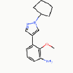 COc1c(N)cccc1-c1cnn(C2CCCCC2)c1